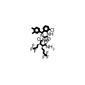 Cc1ccc(C2=NC(NC(=O)[C@H](CCC(F)(F)F)[C@H](CCCC(F)(F)F)C(N)=O)C(=O)Nc3c(Cl)cccc32)cc1C